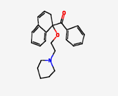 O=C(c1ccccc1)C1(OCCN2CCCCC2)CC=Cc2ccccc21